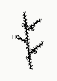 CCCCCCCC(=O)OCC(CCCCCCN(CCCCCO)CCCCCCC(COC(=O)CCCCCCC)COC(=O)CCCCCCC)COC(=O)CCCCCCC